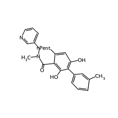 CCCCCc1cc(O)c(-c2cccc(C)c2)c(O)c1C(=O)N(C)Cc1cccnc1